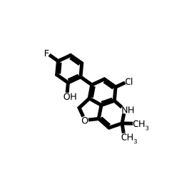 CC1(C)C=C2OCc3c(-c4ccc(F)cc4O)cc(Cl)c(c32)N1